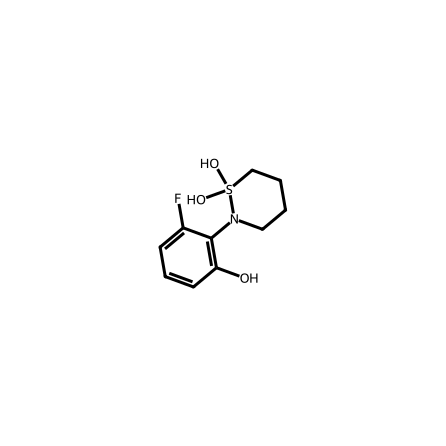 Oc1cccc(F)c1N1CCCCS1(O)O